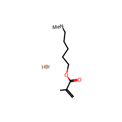 Br.C=C(C)C(=O)OCCCCCNC